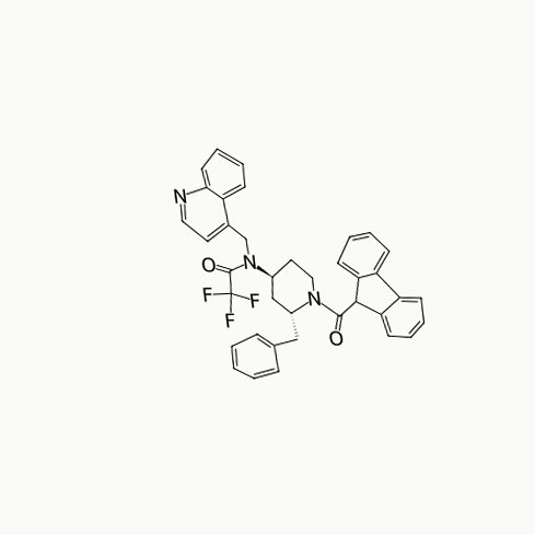 O=C(C1c2ccccc2-c2ccccc21)N1CC[C@H](N(Cc2ccnc3ccccc23)C(=O)C(F)(F)F)C[C@H]1Cc1ccccc1